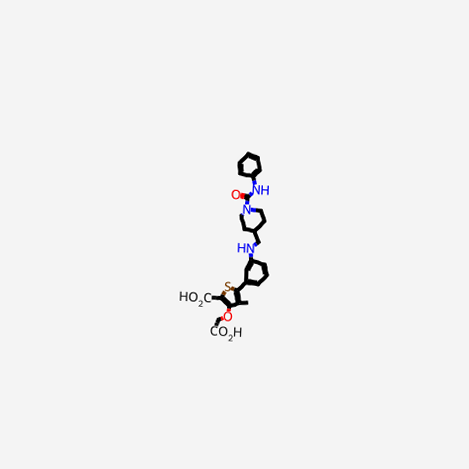 Cc1c(-c2cccc(NCC3CCN(C(=O)Nc4ccccc4)CC3)c2)sc(C(=O)O)c1OCC(=O)O